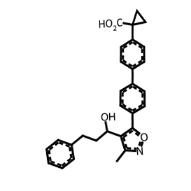 Cc1noc(-c2ccc(-c3ccc(C4(C(=O)O)CC4)cc3)cc2)c1C(O)CCc1ccccc1